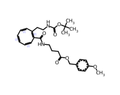 COc1ccc(COC(=O)CCCNC(=O)C2=C(CCNC(=O)OC(C)(C)C)/C=C\C=C/C=C\2)cc1